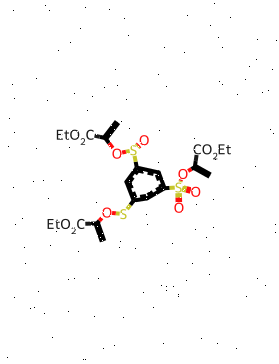 C=C(OSc1cc(S(=O)OC(=C)C(=O)OCC)cc(S(=O)(=O)OC(=C)C(=O)OCC)c1)C(=O)OCC